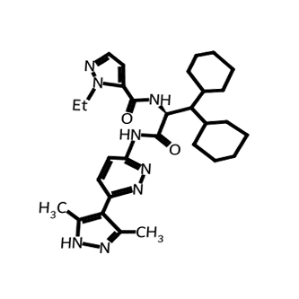 CCn1nccc1C(=O)N[C@H](C(=O)Nc1ccc(-c2c(C)n[nH]c2C)nn1)C(C1CCCCC1)C1CCCCC1